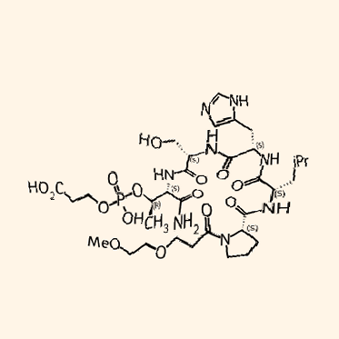 COCCOCCC(=O)N1CCC[C@H]1C(=O)N[C@@H](CC(C)C)C(=O)N[C@@H](Cc1cnc[nH]1)C(=O)N[C@@H](CO)C(=O)N[C@H](C(N)=O)[C@@H](C)OP(=O)(O)OCCC(=O)O